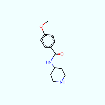 COc1ccc(C(=O)NC2CCNCC2)cc1